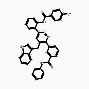 O=C(Nc1ccccc1)c1cccc(-c2nnc(-c3ccccc3NC(=O)c3ccc(O)cc3)cc2Cc2c[nH]c3ccccc23)c1